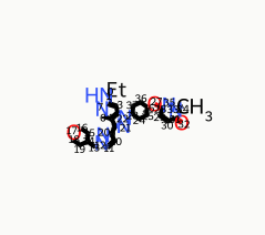 CCNc1cc2c(cn1)c(-c1ccn(CC3CCOCC3)n1)nn2C1CCC(Oc2ccc(=O)n(C)n2)CC1